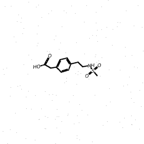 CS(=O)(=O)NCCc1ccc(CC(=O)O)cc1